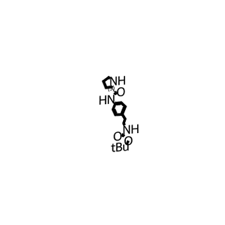 CC(C)(C)OC(=O)NCCc1ccc(NC(=O)[C@@H]2CCCN2)cc1